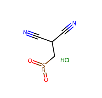 Cl.N#CC(C#N)C[SH](=O)=O